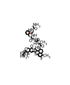 CC[C@@]1(OC(=O)C(F)(F)F)C(=O)OCc2c1cc1n(c2=O)Cc2c-1nc1cc(F)c(C)c3c1c2[C@@H](NC(=O)[C@H](C)NC(=O)CNC(=O)[C@H](Cc1ccccc1)NC(=O)CNC(=O)CN)CC3